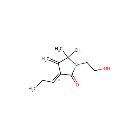 C=C1/C(=C\CC)C(=O)N(CCO)C1(C)C